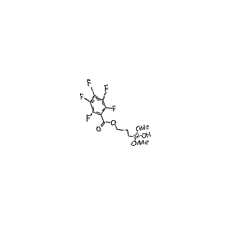 CO[Si](O)(CCCOC(=O)c1c(F)c(F)c(F)c(F)c1F)OC